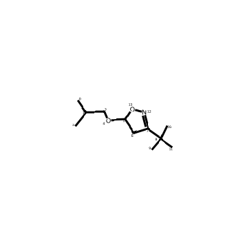 CC(C)COC1CC(C(C)(C)C)=NO1